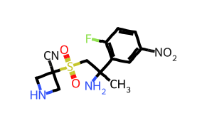 CC(N)(CS(=O)(=O)C1(C#N)CNC1)c1cc([N+](=O)[O-])ccc1F